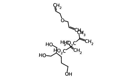 C=C(C)C(=O)O.C=C(C)C(=O)O.C=CCOCC=C.OCCCC(CO)CO